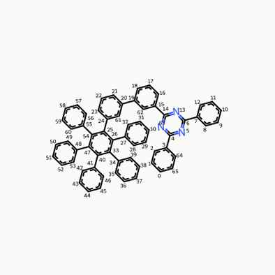 c1ccc(-c2nc(-c3ccccc3)nc(-c3cccc(-c4cccc(-c5c(-c6ccccc6)c(-c6ccccc6)c(-c6ccccc6)c(-c6ccccc6)c5-c5ccccc5)c4)c3)n2)cc1